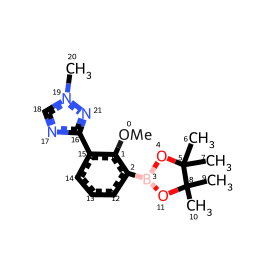 COc1c(B2OC(C)(C)C(C)(C)O2)cccc1-c1ncn(C)n1